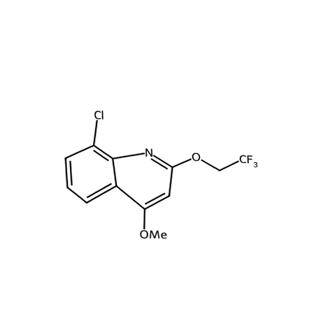 COc1cc(OCC(F)(F)F)nc2c(Cl)cccc12